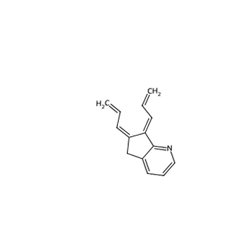 C=C/C=C1/Cc2cccnc2/C1=C/C=C